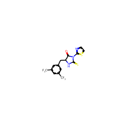 O=C1C(Cc2cc(C(F)(F)F)cc(C(F)(F)F)c2)NC(=S)N1c1nccs1